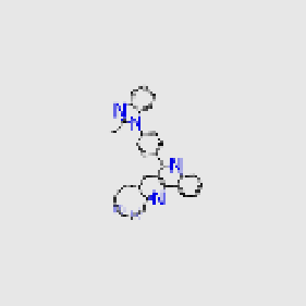 CCc1nc2ccccc2n1-c1ccc(-c2nc3ccccc3c3c2CC2CC/C=C\C=C/C2=N3)cc1